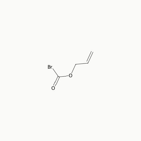 C=CCOC(=O)Br